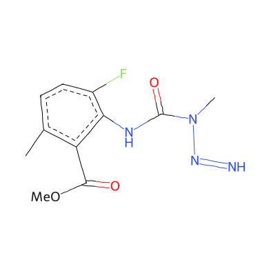 COC(=O)c1c(C)ccc(F)c1NC(=O)N(C)N=N